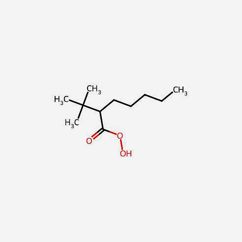 CCCCCC(C(=O)OO)C(C)(C)C